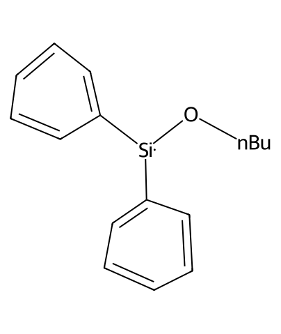 CCCCO[Si](c1ccccc1)c1ccccc1